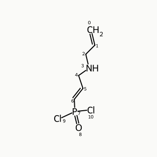 C=CCNCC=CP(=O)(Cl)Cl